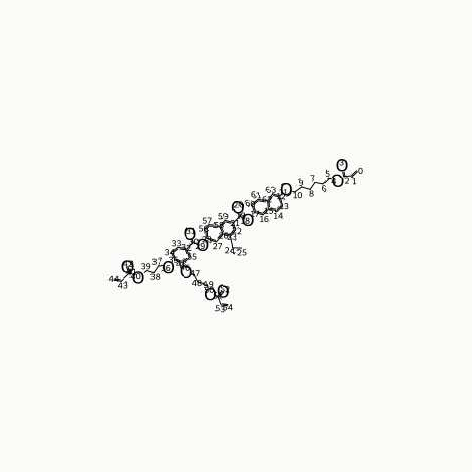 C=CC(=O)OCCCCCCOc1ccc2cc(OC(=O)c3cc(CC)c4cc(OC(=O)c5ccc(OCCCOC(=O)C=C)c(OCCCOC(=O)C=C)c5)ccc4c3)ccc2c1